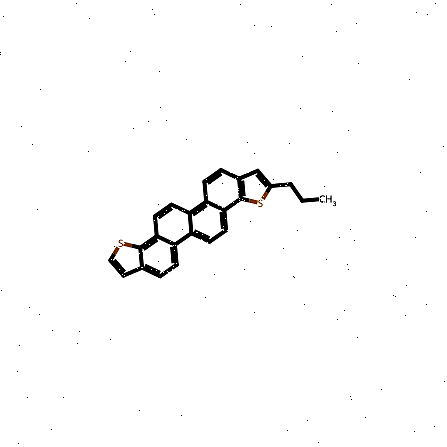 CCCc1cc2ccc3c4ccc5c(ccc6ccsc65)c4ccc3c2s1